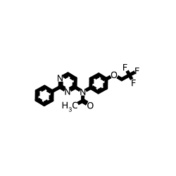 CC(=O)N(c1ccc(OCC(F)(F)F)cc1)c1ccnc(-c2ccccc2)n1